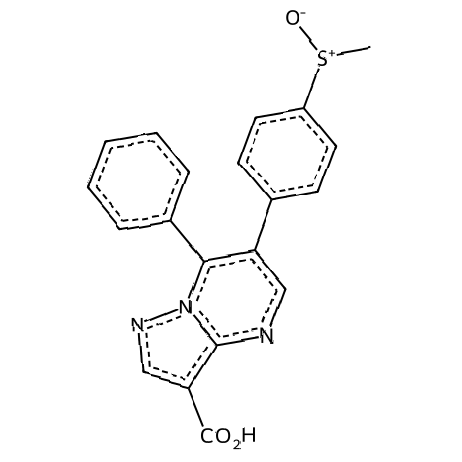 C[S+]([O-])c1ccc(-c2cnc3c(C(=O)O)cnn3c2-c2ccccc2)cc1